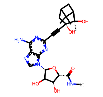 CCNC(=O)[C@H]1O[C@@H](n2cnc3c(N)nc(C#C[C@@]4(O)CC5CC(C5(C)C)[C@@]4(C)O)nc32)C(O)[C@H]1O